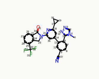 Cn1cnnc1-c1ccc(C#N)cc1-c1cc(C2CC2)nc(N2Cc3c(cccc3C(F)(F)F)C2=O)c1